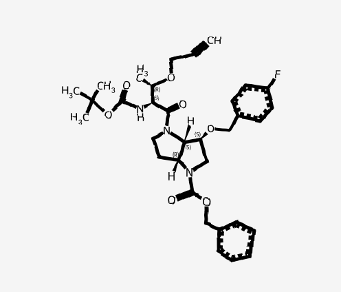 C#CCO[C@H](C)[C@H](NC(=O)OC(C)(C)C)C(=O)N1CC[C@@H]2[C@H]1[C@@H](OCc1ccc(F)cc1)CN2C(=O)OCc1ccccc1